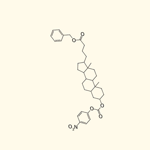 CC12CCC3C(CCC4CC(OC(=O)Oc5ccc([N+](=O)[O-])cc5)CCC43C)C1CCC2CCCC(=O)OCc1ccccc1